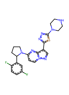 Fc1ccc(F)c(C2CCCN2c2ccn3ncc(-c4nnc(N5CCNCC5)s4)c3n2)c1